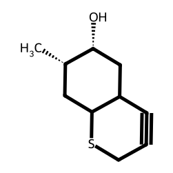 C[C@H]1CC2SCC#CC2C[C@H]1O